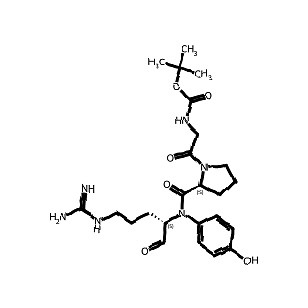 CC(C)(C)OC(=O)NCC(=O)N1CCC[C@H]1C(=O)N(c1ccc(O)cc1)[C@H](C=O)CCCNC(=N)N